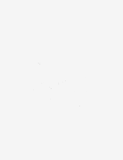 Cc1ccc(S(=O)(=O)O)cc1.N#CC1CCCN1F